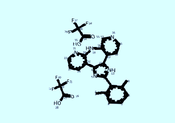 Cc1cccc(C)c1-c1nc2c([nH]1)-c1ccncc1Nc1ncccc1-2.O=C(O)C(F)(F)F.O=C(O)C(F)(F)F